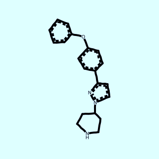 c1ccc(Oc2ccc(-c3ccn(C4CCNCC4)n3)cc2)cc1